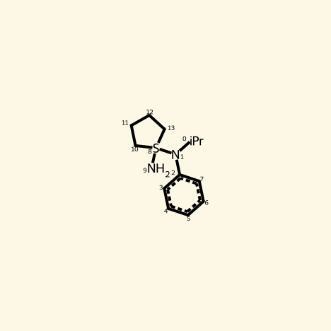 CC(C)N(c1ccccc1)S1(N)CCCC1